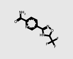 NC(=O)c1ccc(C2=NOC(C(F)(F)F)N2)cn1